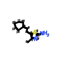 Cc1nc(N)sc1CCC1CCCCC1